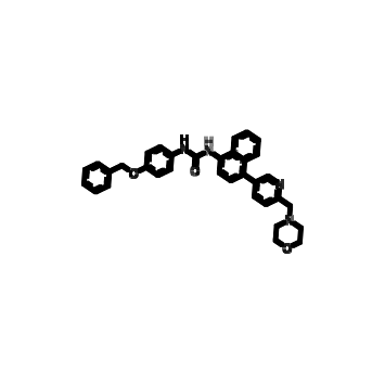 O=C(Nc1ccc(OCc2ccccc2)cc1)Nc1ccc(-c2ccc(CN3CCOCC3)nc2)c2ccccc12